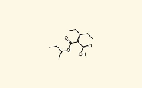 CCC(CC)=C(C(=O)O)C(=O)OC(C)CC